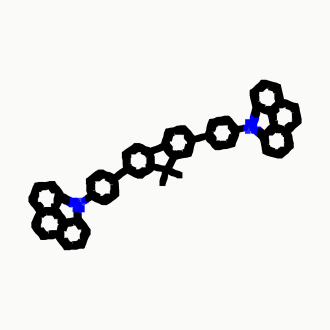 CC1(C)c2cc(-c3ccc(-n4c5cccc6ccc7cccc4c7c65)cc3)ccc2-c2ccc(-c3ccc(-n4c5cccc6ccc7cccc4c7c65)cc3)cc21